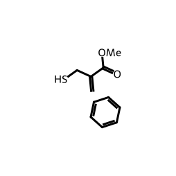 C=C(CS)C(=O)OC.c1ccccc1